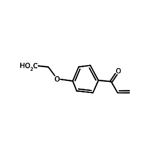 C=CC(=O)c1ccc(OCC(=O)O)cc1